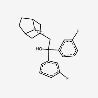 CN1C2CCC1CC(CC(O)(c1cccc(F)c1)c1cccc(F)c1)C2